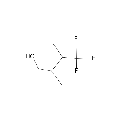 CC(CO)C(C)C(F)(F)F